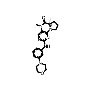 CN1C(=O)[C@H]2CCCN2c2nc(Nc3cccc(N4CCOCC4)c3)ncc21